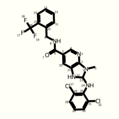 CN1c2ncc(C(=O)NCc3ccccc3C(F)(F)F)cc2NC1Nc1c(Cl)cccc1Cl